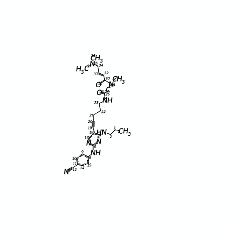 CCCNc1nc(Nc2ccc(C#N)cc2)ncc1C#CCCCNC(=O)CN(C)C(=O)/C=C/CN(C)C